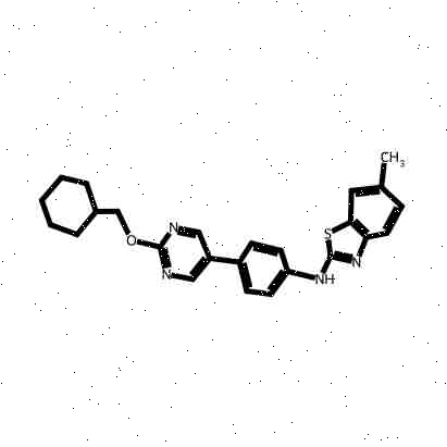 Cc1ccc2nc(Nc3ccc(-c4cnc(OCC5CCCCC5)nc4)cc3)sc2c1